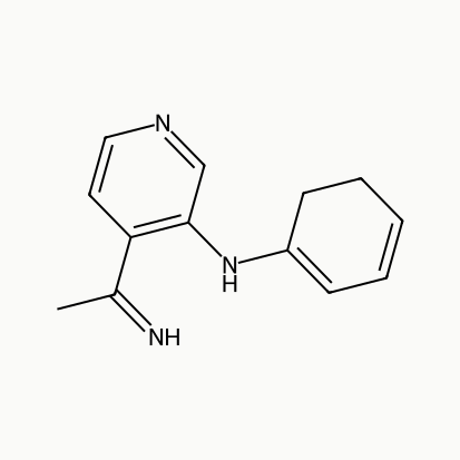 CC(=N)c1ccncc1NC1=CC=CCC1